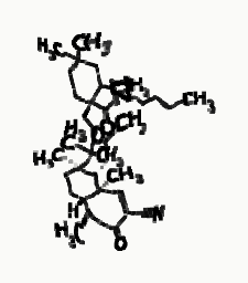 CCCCNC(=O)[C@]1(CCC(C)(C)[C@]2(C)CC[C@H]3[C@H](C)C(=O)C(C#N)=C[C@]3(C)[C@H]2CC(C)=O)CCC(C)(C)CC1C